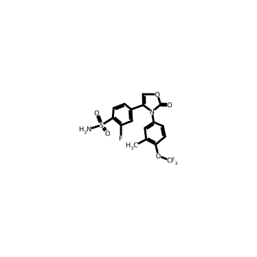 Cc1cc(-n2c(-c3ccc(S(N)(=O)=O)c(F)c3)coc2=O)ccc1OC(F)(F)F